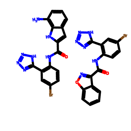 Nc1cccc2cc(C(=O)Nc3ccc(Br)cc3-c3nnn[nH]3)[nH]c12.O=C(Nc1ccc(Br)cc1-c1nnn[nH]1)c1noc2ccccc12